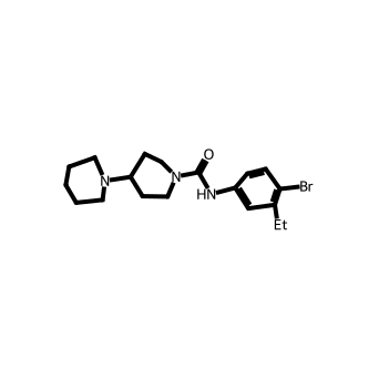 CCc1cc(NC(=O)N2CCC(N3CCCCC3)CC2)ccc1Br